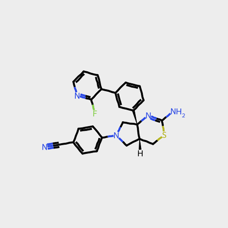 N#Cc1ccc(N2C[C@H]3CSC(N)=N[C@@]3(c3cccc(-c4cccnc4F)c3)C2)cc1